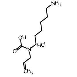 C=CCN(CCCCCCN)C(=O)O.Cl